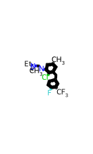 CCN(C)C=Nc1cc(C)cc(Cc2ccc(F)c(C(F)(F)F)c2)c1Cl